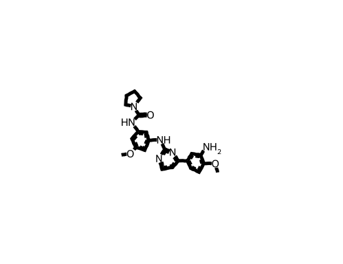 COc1cc(NC(=O)N2CCCC2)cc(Nc2nccc(-c3ccc(OC)c(N)c3)n2)c1